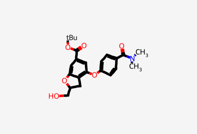 CN(C)C(=O)c1ccc(Oc2cc(C(=O)OC(C)(C)C)cc3c2CC(CO)O3)cc1